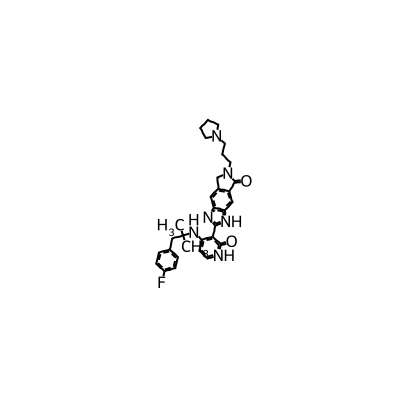 CC(C)(Cc1ccc(F)cc1)Nc1cc[nH]c(=O)c1-c1nc2cc3c(cc2[nH]1)C(=O)N(CCCN1CCCC1)C3